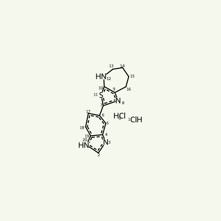 Cl.Cl.c1nc2cc(-c3nc4c(s3)NCCCC4)ccc2[nH]1